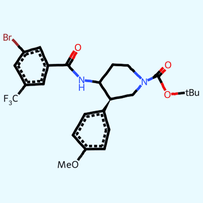 COc1ccc([C@@H]2CN(C(=O)OC(C)(C)C)CCC2NC(=O)c2cc(Br)cc(C(F)(F)F)c2)cc1